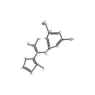 CC1=[C]([Ti]([O]c2cc(Cl)cc(C(C)(C)C)c2)=[C](C)C)CC=C1